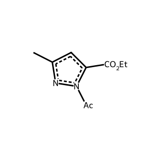 CCOC(=O)c1cc(C)nn1C(C)=O